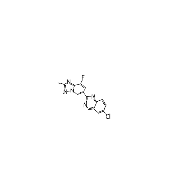 Cc1nc2c(F)cc(-c3ncc4cc(Cl)ccc4n3)cn2n1